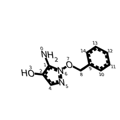 Nc1c(O)cnn1OCc1ccccc1